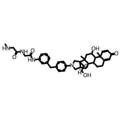 CNCC(=O)NCC(=O)Nc1cccc(Cc2ccc(N3C[C@@H]4CC5C6CCC7=CC(=O)C=CC7(C)C6C(O)CC5(C)C4(C(=O)CO)C3)cc2)c1